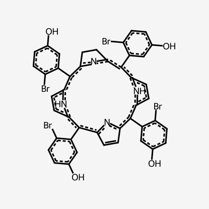 Oc1ccc(Br)c(-c2c3nc(c(-c4cc(O)ccc4Br)c4ccc([nH]4)c(-c4cc(O)ccc4Br)c4nc(c(-c5cc(O)ccc5Br)c5ccc2[nH]5)CC4)C=C3)c1